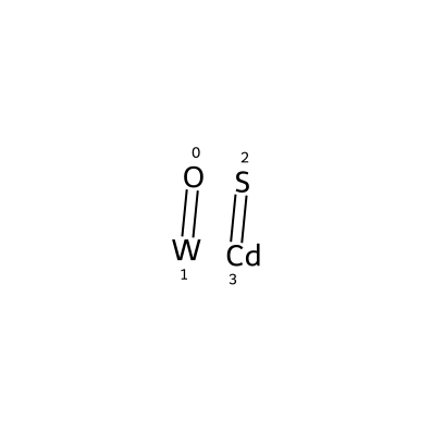 [O]=[W].[S]=[Cd]